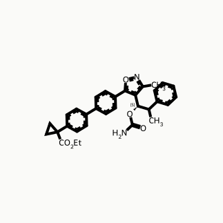 CCOC(=O)C1(c2ccc(-c3ccc(-c4onc(C)c4[C@@H](OC(N)=O)C(C)c4ccccc4)cc3)cc2)CC1